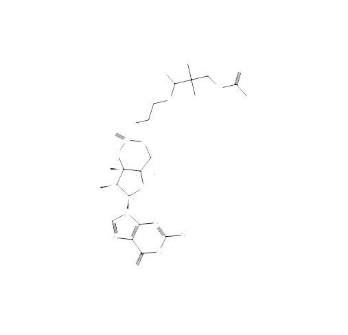 CC(=O)OCC(C)(C)C(O)SCCO[P@]1(=O)OC[C@H]2O[C@@H](n3cnc4c(=O)[nH]c(N)nc43)[C@@H](C)[C@@H]2O1